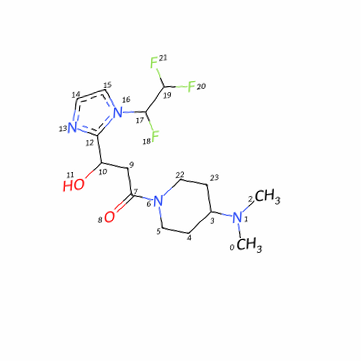 CN(C)C1CCN(C(=O)CC(O)c2nccn2C(F)C(F)F)CC1